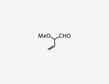 [CH]=CC(C=O)OC